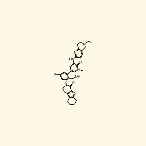 CCN1CCc2nc(Nc3cc(-c4cc(F)cc(N5CCc6c(sc7c6CCCC7)C5=O)c4CO)cn(C)c3=O)ccc2C1